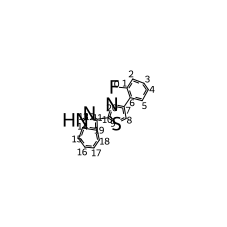 Fc1ccccc1-c1csc(-c2n[nH]c3ccccc23)n1